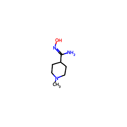 CN1CCC(/C(N)=N/O)CC1